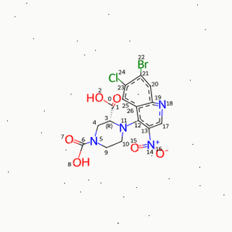 O=C(O)[C@H]1CN(C(=O)O)CCN1c1c([N+](=O)[O-])cnc2cc(Br)c(Cl)cc12